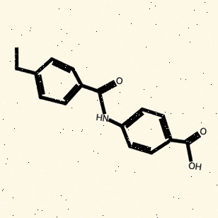 CCc1ccc(C(=O)Nc2ccc(C(=O)O)cc2)cc1